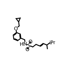 CC(C)C(C)/C=C/CCS(=O)(=O)NCc1cccc(OCC2CC2)c1